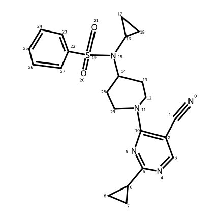 N#Cc1cnc(C2CC2)nc1N1CCC(N(C2CC2)S(=O)(=O)c2ccccc2)CC1